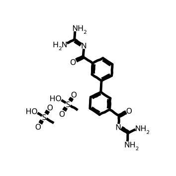 CS(=O)(=O)O.CS(=O)(=O)O.NC(N)=NC(=O)c1cccc(-c2cccc(C(=O)N=C(N)N)c2)c1